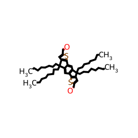 CCCCCCCCC1(CCCCCCCC)c2cc3c(cc2-c2sc(C=O)cc21)C(CCCCCCCC)(CCCCCCCC)c1cc(C=O)sc1-3